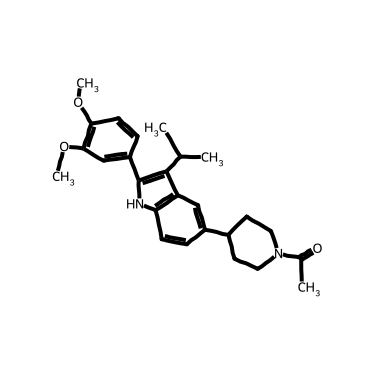 COc1ccc(-c2[nH]c3ccc(C4CCN(C(C)=O)CC4)cc3c2C(C)C)cc1OC